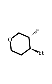 CC[C@H]1CCOC[C@@H]1F